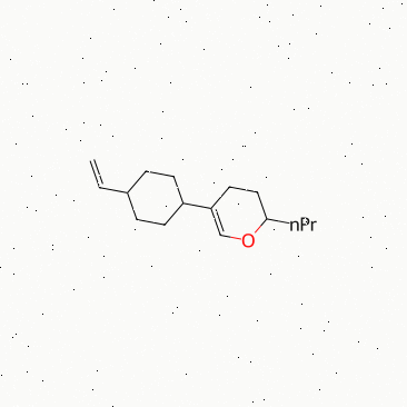 C=CC1CCC(C2=COC(CCC)CC2)CC1